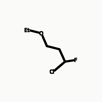 CCOCCC(F)Cl